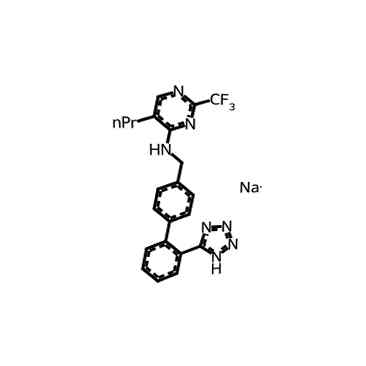 CCCc1cnc(C(F)(F)F)nc1NCc1ccc(-c2ccccc2-c2nnn[nH]2)cc1.[Na]